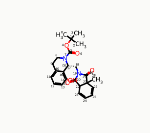 CC(C)(C)OC(=O)N1CCc2cccc(O)c2[C@H]1CN1C(=O)C2C=CC=CC2(C)C1=O